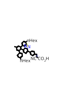 CCCCCCc1ccc(-c2cc(C)cc(-c3ccc(CCCCCC)cc3)c2-c2ccc(-c3ccc(/C=C(\C#N)C(=O)O)cc3)c3nsnc23)cc1